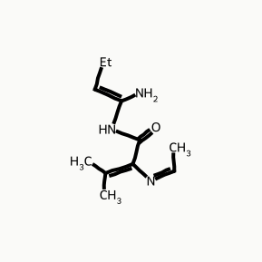 C/C=N\C(C(=O)N/C(N)=C/CC)=C(C)C